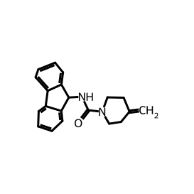 C=C1CCN(C(=O)NC2c3ccccc3-c3ccccc32)CC1